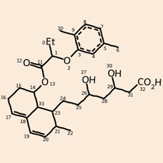 CCC(Oc1cc(C)ccc1C)C(=O)OC1CCC=C2C=CC(C)C(CCC(O)CC(O)CC(=O)O)C21